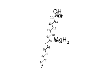 CCCCCCCCCCCCCCCCC(=O)O.[MgH2]